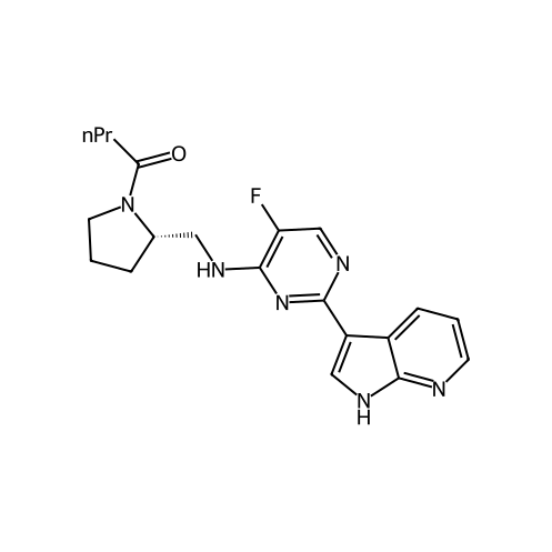 CCCC(=O)N1CCC[C@H]1CNc1nc(-c2c[nH]c3ncccc23)ncc1F